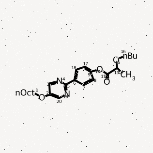 CCCCCCCCOc1cnc(-c2ccc(OC(=O)C(C)OCCCC)cc2)nc1